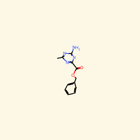 Cc1nc(N)nc(C(=O)OCc2ccccc2)n1